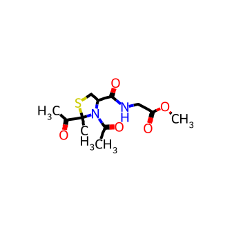 COC(=O)CNC(=O)C1CSC(C)(C(C)=O)N1C(C)=O